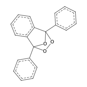 c1ccc(C23OOC(c4ccccc4)(O2)c2ccccc23)cc1